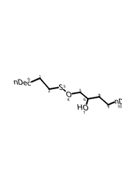 CCCCCCCCCCCCSOCC(O)CCCCCCCCCCCC